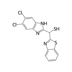 SC(c1nc2cc(Cl)c(Cl)cc2[nH]1)c1nc2ccccc2s1